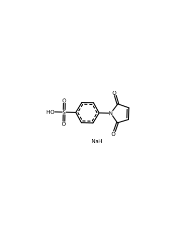 O=C1C=CC(=O)N1c1ccc(S(=O)(=O)O)cc1.[NaH]